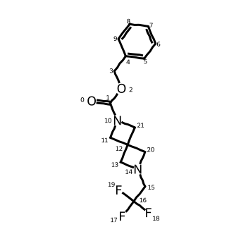 O=C(OCc1ccccc1)N1CC2(CN(CC(F)(F)F)C2)C1